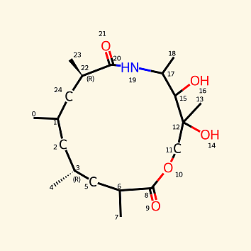 CC1C[C@@H](C)CC(C)C(=O)OCC(C)(O)C(O)C(C)NC(=O)[C@H](C)C1